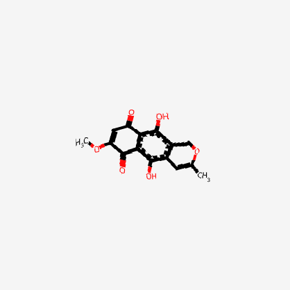 COC1=CC(=O)c2c(O)c3c(c(O)c2C1=O)C=C(C)OC3